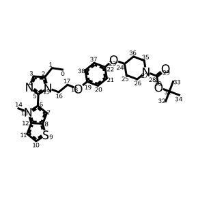 CCc1cnc(-c2cc3sccc3n2C)n1CCOc1ccc(OC2CCN(C(=O)OC(C)(C)C)CC2)cc1